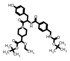 CCOC(C(=O)OC(C)(C)C)C1CCN(C(=O)C(Cc2ccc(O)cc2)NC(=O)c2ccc(CNC(=O)OC(C)(C)C)cc2)CC1